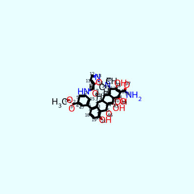 COC(=O)c1cc(NC(=O)c2ccno2)cc(-c2ccc(O)c3c2C[C@H]2C[C@H]4[C@H](N(C)C)C(O)=C(C(N)=O)C(=O)[C@@]4(O)C(O)=C2C3=O)c1